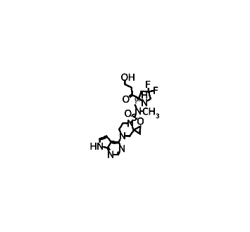 CN(C[C@]1(C(=O)CCO)CC(F)(F)CN1)S(=O)(=O)N1CCN(c2ncnc3[nH]ccc23)CC12CC2